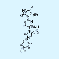 CC(C)C1C(C)NC(=O)N1c1ccnc(N[C@@H](C)c2cn(-c3ccc(Cl)cc3)cn2)n1